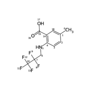 Cc1ccc(NCC(F)(F)C(F)(F)F)c(C(=O)O)c1